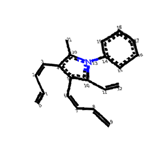 C=C/C=C\c1c(/C=C\C=C)c(C=C)n(-c2ccccc2)c1C